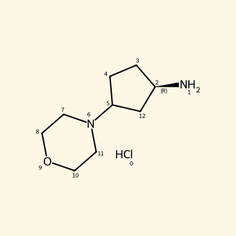 Cl.N[C@@H]1CCC(N2CCOCC2)C1